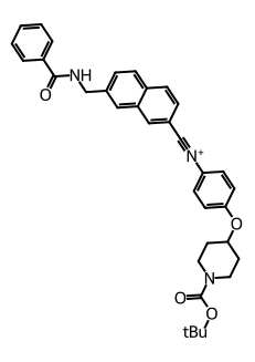 CC(C)(C)OC(=O)N1CCC(Oc2ccc([N+]#Cc3ccc4ccc(CNC(=O)c5ccccc5)cc4c3)cc2)CC1